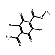 CNC(=O)C1=C(Br)C(=O)C(C(N)=O)=C(Br)C1=O